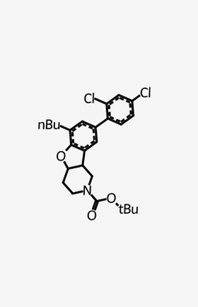 CCCCc1cc(-c2ccc(Cl)cc2Cl)cc2c1OC1CCN(C(=O)OC(C)(C)C)CC21